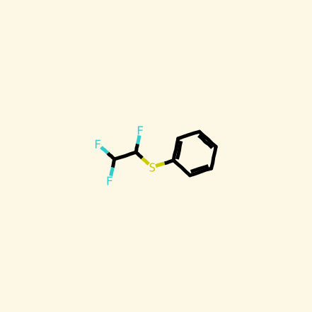 FC(F)C(F)Sc1ccccc1